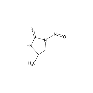 CC1CN(N=O)C(=S)N1